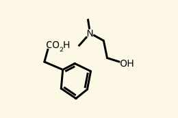 CN(C)CCO.O=C(O)Cc1ccccc1